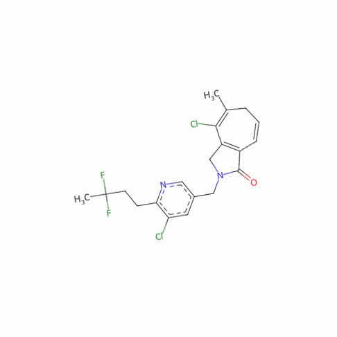 CC1=C(Cl)C2=C(C=CC1)C(=O)N(Cc1cnc(CCC(C)(F)F)c(Cl)c1)C2